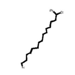 CCC(CCCCCCCCCCCCCCC(C)=O)C(C)C